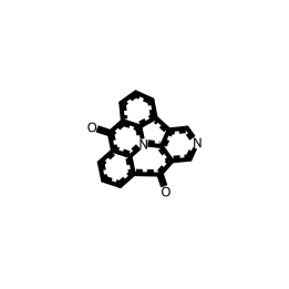 O=c1c2cccc3c(=O)c4cncc5c6cccc1c6n(c23)c45